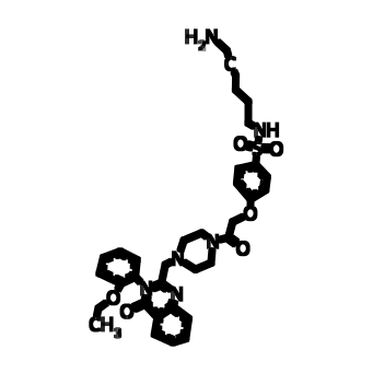 CCOc1ccccc1-n1c(CN2CCN(C(=O)COc3ccc(S(=O)(=O)NCCCCCCN)cc3)CC2)nc2ccccc2c1=O